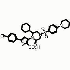 O=C(O)c1sc(-c2ccc(Cl)cc2)cc1N1C(=O)CN(S(=O)(=O)c2ccc(N3CCCCC3)cc2)CC1C1CCCCC1